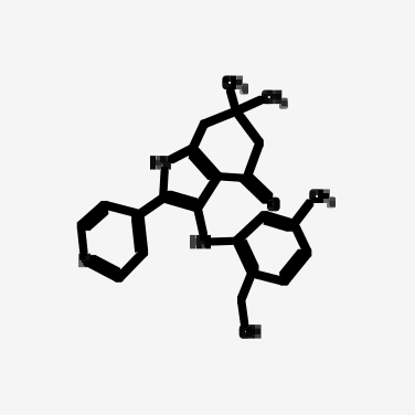 Cc1ccc(CO)c(Nc2c(-c3ccncc3)[nH]c3c2C(=O)CC(C)(C)C3)c1